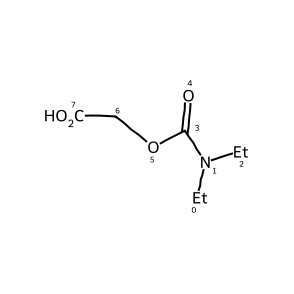 CCN(CC)C(=O)OCC(=O)O